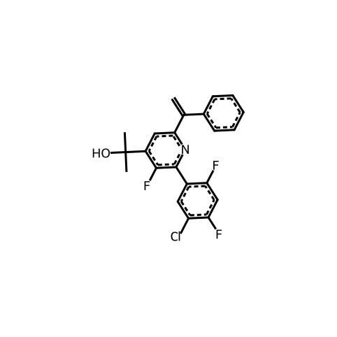 C=C(c1ccccc1)c1cc(C(C)(C)O)c(F)c(-c2cc(Cl)c(F)cc2F)n1